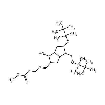 COC(=O)CCC=CC1CC2C(CO[Si](C)(C)C(C)(C)C)C(O[Si](C)(C)C(C)(C)C)CC2C1O